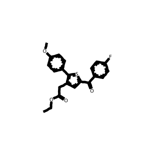 CCOC(=O)Cc1cc(C(=O)c2ccc(F)cc2)sc1-c1ccc(OC)cc1